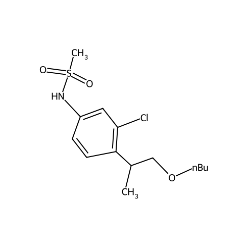 CCCCOCC(C)c1ccc(NS(C)(=O)=O)cc1Cl